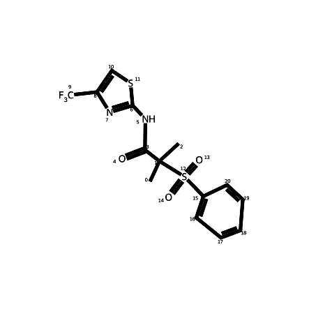 CC(C)(C(=O)Nc1nc(C(F)(F)F)cs1)S(=O)(=O)c1ccccc1